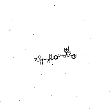 CCn1ncc2c(N(C)CCOc3ccc(CNC(=O)CCCNC(=O)OC(C)(C)C)cc3)nc(-c3cccnc3)nc21